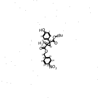 CC(C)(C)OC(=O)C1(c2ccc(O)cc2)CC1(N)C(=O)OCc1ccc([N+](=O)[O-])cc1